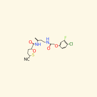 C=C(CCNC(=O)COc1ccc(Cl)c(F)c1)NC(=O)C1CCC(C#N)SO1